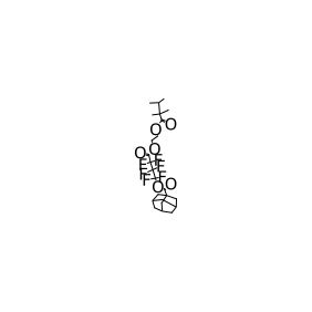 CC(C)C(C)(C)C(=O)OCCOC(=O)C(F)(F)C(F)(F)C(F)(F)OC(=O)C12CC3CC(CC(C3)C1)C2